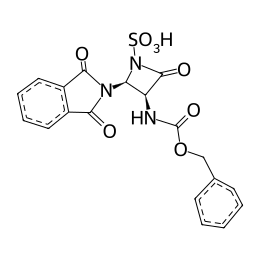 O=C(N[C@@H]1C(=O)N(S(=O)(=O)O)[C@@H]1N1C(=O)c2ccccc2C1=O)OCc1ccccc1